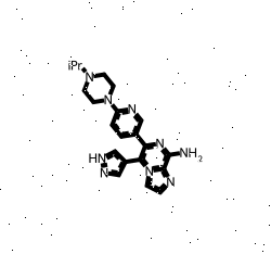 CC(C)N1CCN(c2ccc(-c3nc(N)c4nccn4c3-c3cn[nH]c3)cn2)CC1